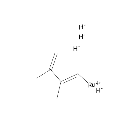 C=C(C)C(C)=[CH][Ru+4].[H-].[H-].[H-].[H-]